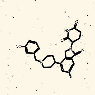 N#Cc1cccc(CN2CCC(c3cc(F)cc4c3CN(C3CCC(=O)NC3=O)C4=O)CC2)c1